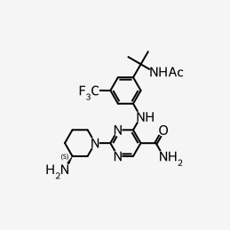 CC(=O)NC(C)(C)c1cc(Nc2nc(N3CCC[C@H](N)C3)ncc2C(N)=O)cc(C(F)(F)F)c1